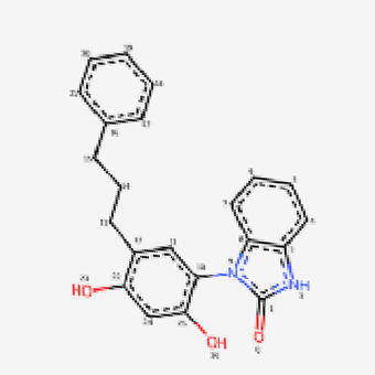 O=c1[nH]c2ccccc2n1-c1cc(CCCc2ccccc2)c(O)cc1O